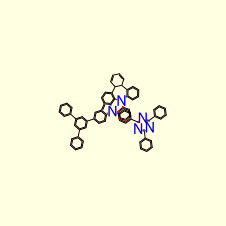 C1=CC2c3ccccc3N(c3ccccc3)c3c(ccc4c5cc(-c6cc(-c7ccccc7)cc(-c7ccccc7)c6)ccc5n(-c5ccc(-c6nc(-c7ccccc7)nc(-c7ccccc7)n6)cc5)c34)C2C=C1